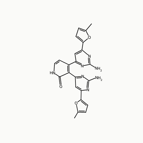 Cc1ccc(-c2cc(-c3cc[nH]c(=O)c3-c3cc(-c4ccc(C)o4)nc(N)n3)nc(N)n2)o1